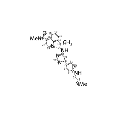 CNCCNc1ccc(-c2cc(NC[C@@H](C)c3cccc4c(C(=O)NC)ccnc34)ncn2)cn1